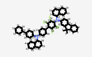 CC1(C)c2ccccc2-c2ccc(N(c3c(F)c(F)c(-c4ccc(N(c5ccc(-c6ccccc6)cc5)c5cccc6ccccc56)cc4)c(F)c3F)c3cccc4ccccc34)cc21